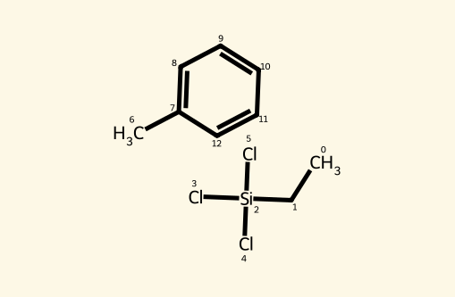 CC[Si](Cl)(Cl)Cl.Cc1ccccc1